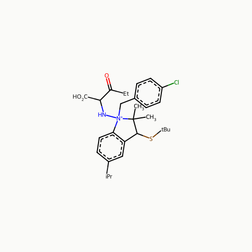 CCC(=O)C(N[N+]1(Cc2ccc(Cl)cc2)c2ccc(C(C)C)cc2C(SC(C)(C)C)C1(C)C)C(=O)O